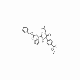 CCOC(=O)c1ccc(N(NC(=O)C(CC(=O)OCc2ccccc2)n2cccc2)C(=O)CCC(C)C)cc1